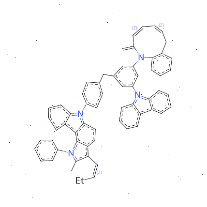 C=C1/C=C\C=C/Cc2ccccc2N1c1cc(Cc2ccc(-n3c4ccccc4c4c5c(ccc43)c(/C=C\CC)c(C)n5-c3ccccc3)cc2)cc(-n2c3ccccc3c3ccccc32)c1